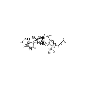 CC(C)c1nn(CC2CC2)c(C(C)C)c1NC(=O)N=[S@@](N)(=O)c1cnn2c1OCCC2